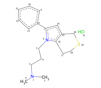 CN(C)CCCn1c(-c2ccccc2)cc2c1CCSC2.Cl